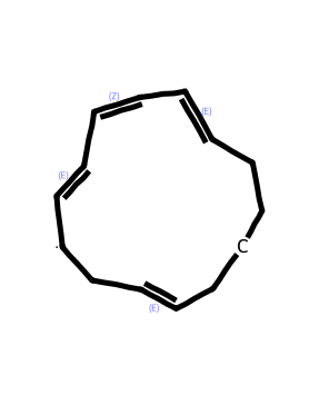 [CH]1/C=C/C=C\C=C\CCCC/C=C/C1